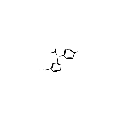 CCCC(=O)N(c1ccc(F)cc1)c1cc(N)ccn1